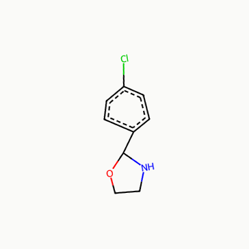 Clc1ccc(C2NCCO2)cc1